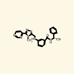 Cn1c(CNc2cccc(C(=O)N[C@@H](C#N)c3ccccc3)c2)nnc1-c1ccncn1